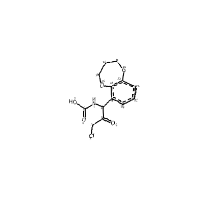 O=C(O)NC(C(=O)CCl)c1cccc2c1OCCCO2